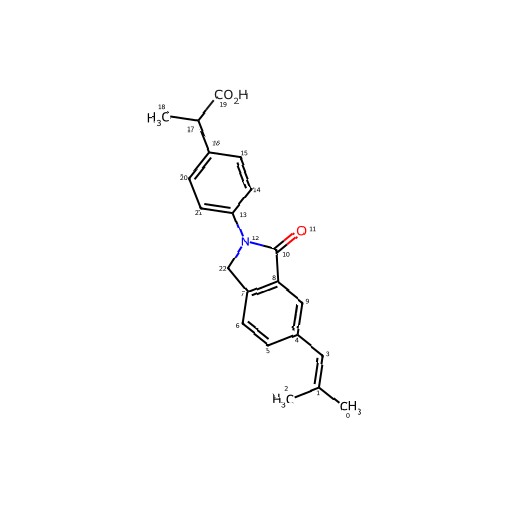 CC(C)=Cc1ccc2c(c1)C(=O)N(c1ccc(C(C)C(=O)O)cc1)C2